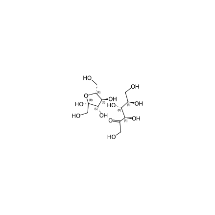 O=C(CO)[C@H](O)[C@H](O)[C@H](O)CO.OC[C@H]1O[C@](O)(CO)[C@@H](O)[C@@H]1O